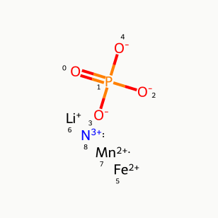 O=P([O-])([O-])[O-].[Fe+2].[Li+].[Mn+2].[N+3]